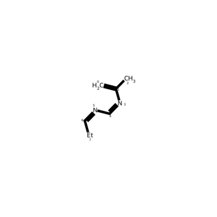 C=C(C)/N=C\N=C/CC